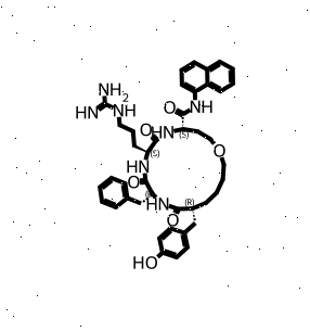 N=C(N)NCCC[C@@H]1NC(=O)[C@@H](Cc2ccccc2)NC(=O)[C@@H](Cc2ccc(O)cc2)CCCCOCC[C@@H](C(=O)Nc2cccc3ccccc23)NC1=O